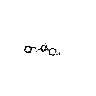 c1ccc(CSc2cnn(C3CCNCC3)c2)cc1